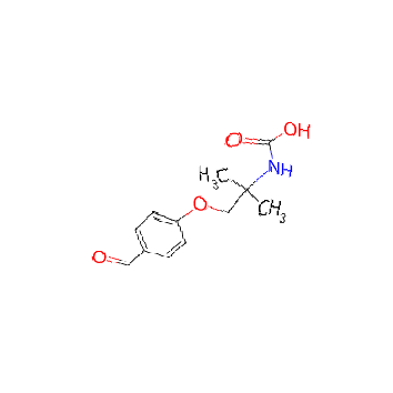 CC(C)(COc1ccc(C=O)cc1)NC(=O)O